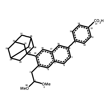 COC(Cc1cc2ccc(-c3ccc(C(=O)O)cc3)cc2cc1C12CC3CC(CC(C3)C1)C2)OC